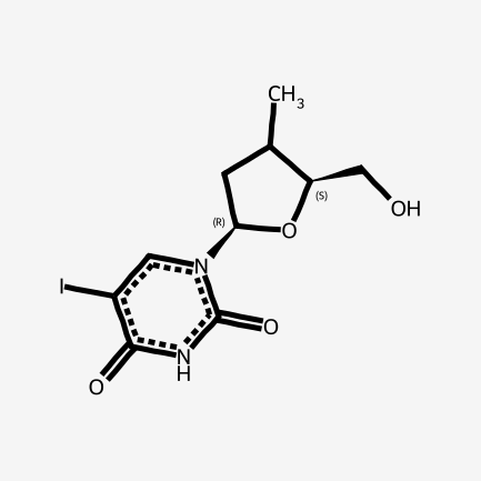 CC1C[C@H](n2cc(I)c(=O)[nH]c2=O)O[C@@H]1CO